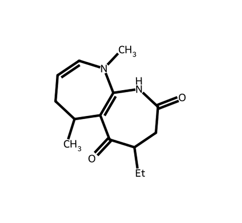 CCC1CC(=O)NC2=C(C1=O)C(C)CC=CN2C